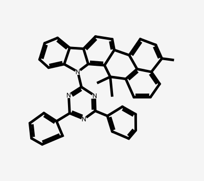 Cc1ccc2c3c(cccc13)C(C)(C)c1c-2ccc2c3ccccc3n(-c3nc(-c4ccccc4)nc(-c4ccccc4)n3)c12